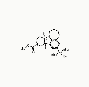 CCC[CH2][Sn]([CH2]CCC)([CH2]CCC)[c]1cc2c3c(c1)[C@@H]1CN(C(=O)OC(C)(C)C)CC[C@@H]1N3CCCS2